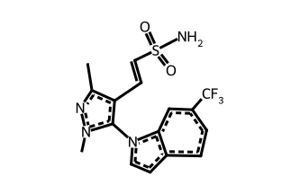 Cc1nn(C)c(-n2ccc3ccc(C(F)(F)F)cc32)c1C=CS(N)(=O)=O